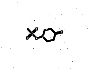 CS(=O)(=O)ON1CCC(=O)CC1